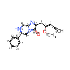 C#C/C=C(/Cc1nc2c[nH]c(-c3ccccc3)cn-2c1=O)OC